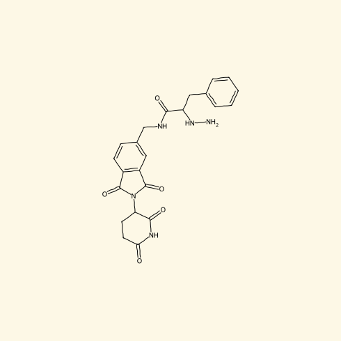 NNC(Cc1ccccc1)C(=O)NCc1ccc2c(c1)C(=O)N(C1CCC(=O)NC1=O)C2=O